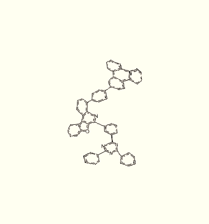 c1ccc(-c2nc(-c3ccccc3)nc(-c3cccc(-c4nc5c(-c6ccc(-c7ccc8c9ccccc9c9ccccc9c8c7)cc6)cccc5c5c4oc4ccccc45)c3)n2)cc1